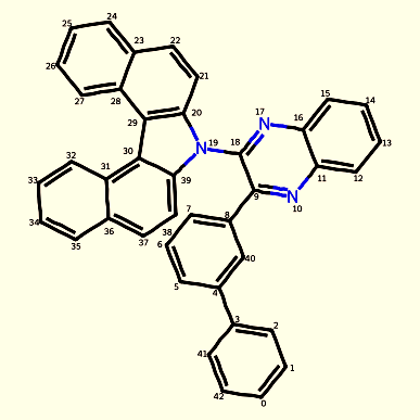 c1ccc(-c2cccc(-c3nc4ccccc4nc3-n3c4ccc5ccccc5c4c4c5ccccc5ccc43)c2)cc1